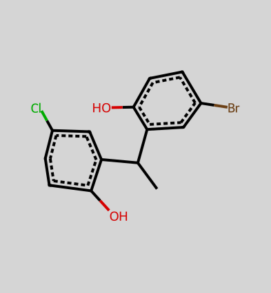 CC(c1cc(Cl)ccc1O)c1cc(Br)ccc1O